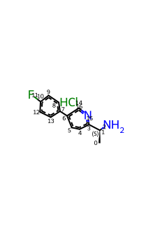 C[C@H](N)c1ccc(-c2ccc(F)cc2)cn1.Cl